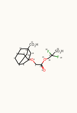 O=C(COC12CC3CC(C1)CC(C(=O)O)(C3)C2)OCC(F)(F)S(=O)(=O)O